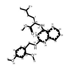 COC(=O)[C@@H](CCC(C)F)Nc1nc(NCc2ccc(OC)cc2OC)nc2cccnc12